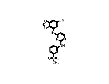 CS(=O)(=O)c1cccc(Nc2nccc(Nc3cc(C#N)cc4c3OCO4)n2)c1